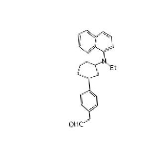 CCN(c1cccc2ccccc12)C1CCCC(c2ccc(CC=O)cc2)C1